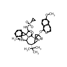 C=C[C@@H]1C[C@@]1(C(=O)NS(=O)(=O)C1CC1)N1C(=O)[C@@]23C[C@]4(Oc5nccc6cc(OC)ccc56)C[N+]2(O4)C3[C@H](C(C)(C)C)CC1Nc1ccccc1